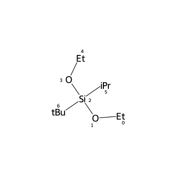 CCO[Si](OCC)(C(C)C)C(C)(C)C